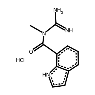 CN(C(=N)N)C(=O)c1cccc2cc[nH]c12.Cl